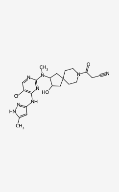 Cc1cc(Nc2nc(N(C)C3CC4(CCN(C(=O)CC#N)CC4)CC3O)ncc2Cl)n[nH]1